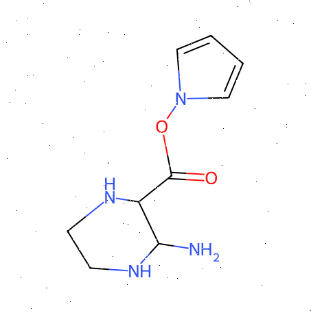 NC1NCCNC1C(=O)On1cccc1